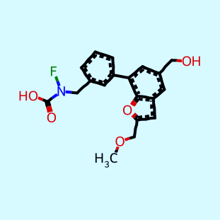 COCc1cc2cc(CO)cc(-c3cccc(CN(F)C(=O)O)c3)c2o1